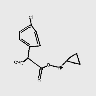 O=CC(C(=O)ONC1CC1)c1ccc(Cl)cc1